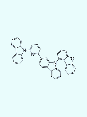 c1cc(-c2ccc3c4ccccc4n(-c4cccc5oc6ccccc6c45)c3c2)nc(-n2c3ccccc3c3ccccc32)c1